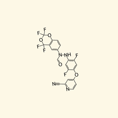 N#Cc1cc(Oc2cc(F)c(NN(C=O)c3ccc4c(c3)C(F)(F)OC(F)(F)O4)cc2F)ccn1